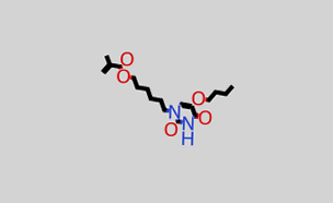 C=C(C)C(=O)OCCCCCCn1cc(OCCCC)c(=O)[nH]c1=O